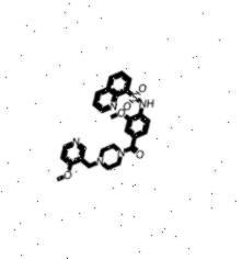 COc1ccncc1CN1CCN(C(=O)c2ccc(NS(=O)(=O)c3cccc4cccnc34)c(OC)c2)CC1